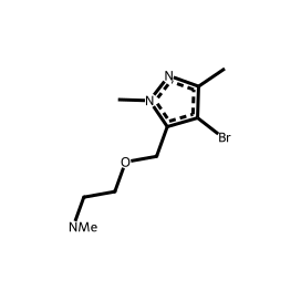 CNCCOCc1c(Br)c(C)nn1C